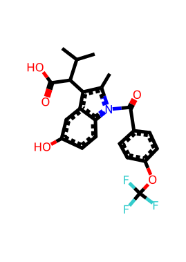 Cc1c(C(C(=O)O)C(C)C)c2cc(O)ccc2n1C(=O)c1ccc(OC(F)(F)F)cc1